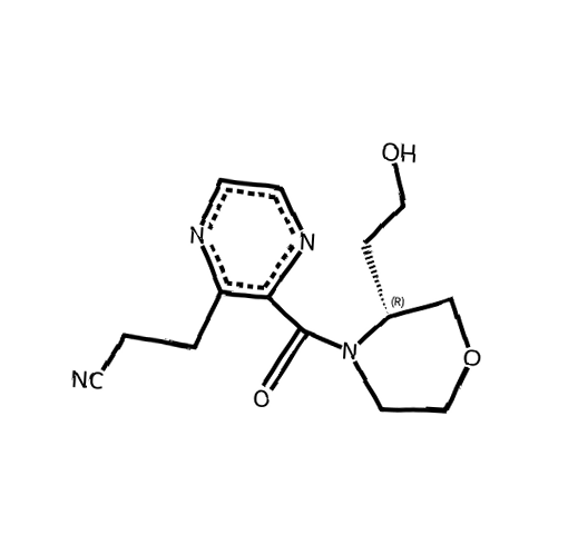 N#CCCc1nccnc1C(=O)N1CCOC[C@H]1CCO